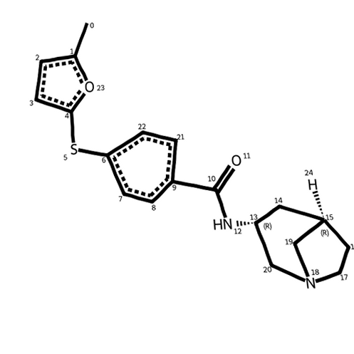 Cc1ccc(Sc2ccc(C(=O)N[C@@H]3C[C@H]4CCN(C4)C3)cc2)o1